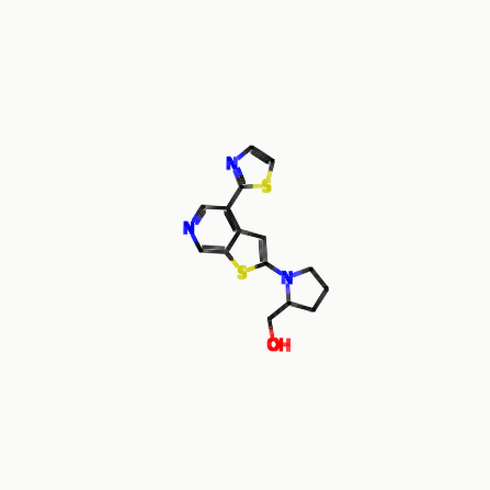 OCC1CCCN1c1cc2c(-c3nccs3)cncc2s1